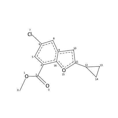 COC(=O)c1cc(Cl)cc2cc(C3CC3)oc12